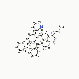 C=CC/C=C(\C=C/C/C=C\Cc1c2ccccc2c(-c2ccccc2)c2ccccc12)c1cccc(-c2ccccn2)c1